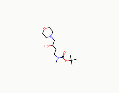 CN(CC[C@@H](O)CN1CCOCC1)C(=O)OC(C)(C)C